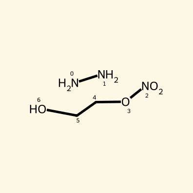 NN.O=[N+]([O-])OCCO